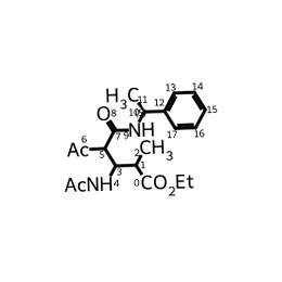 CCOC(=O)C(C)C(NC(C)=O)C(C(C)=O)C(=O)N[C@@H](C)c1ccccc1